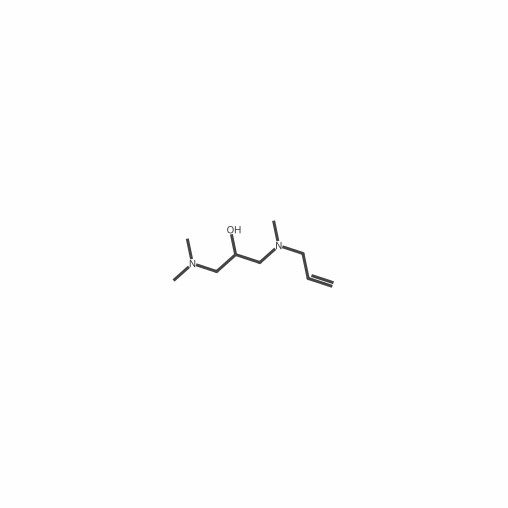 C=CCN(C)CC(O)CN(C)C